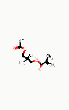 C=C(C)C(=O)OCC(C)(C)COC(=O)C(F)(F)F